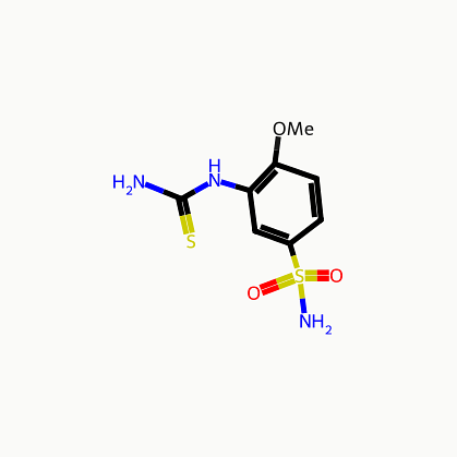 COc1ccc(S(N)(=O)=O)cc1NC(N)=S